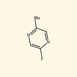 CC(C)(C)c1cnc(F)cn1